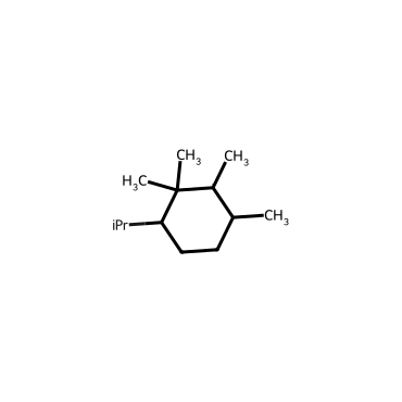 C[C]1C(C)CCC(C(C)C)C1(C)C